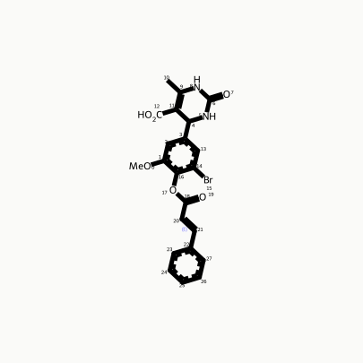 COc1cc(C2NC(=O)NC(C)=C2C(=O)O)cc(Br)c1OC(=O)/C=C/c1ccccc1